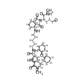 CNC(=O)C(CCC=O)N1C(=O)c2cccc(NCCCCCNC(=O)c3cc4c(-c5ccccc5Oc5ccccc5)cn(C)c(=O)c4[nH]3)c2C1=O